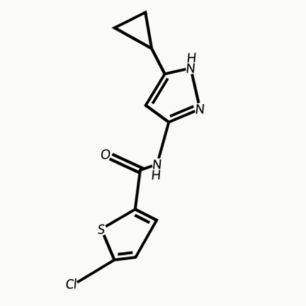 O=C(Nc1cc(C2CC2)[nH]n1)c1ccc(Cl)s1